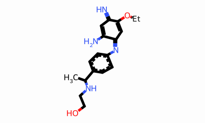 CCOC1=CC(=Nc2ccc(C(C)NCCO)cc2)C(N)=CC1=N